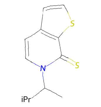 CC(C)C(C)n1ccc2ccsc2c1=S